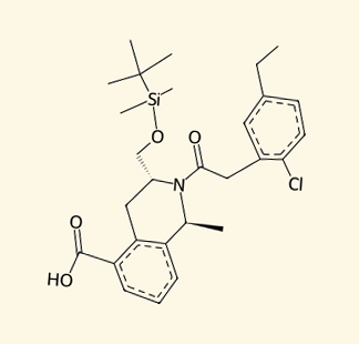 CCc1ccc(Cl)c(CC(=O)N2[C@@H](CO[Si](C)(C)C(C)(C)C)Cc3c(C(=O)O)cccc3[C@@H]2C)c1